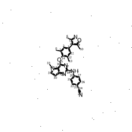 Cc1cc(-c2c(C)noc2C)cc(C)c1Oc1nc(Nc2ccc(C#N)cc2)nc2ccn(C)c12